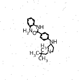 CC(C)(C)CN1CC[C@H](Nc2ccc(C(=O)Nc3ccccc3N)cc2)C1